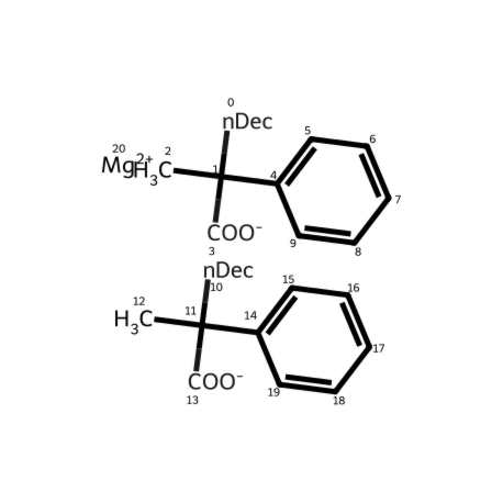 CCCCCCCCCCC(C)(C(=O)[O-])c1ccccc1.CCCCCCCCCCC(C)(C(=O)[O-])c1ccccc1.[Mg+2]